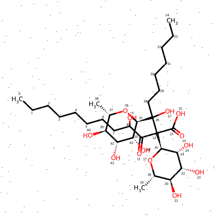 CCCCCCCCC(O)C(=O)C(C(=O)O)([C@@H]1O[C@@H](C)[C@H](O)[C@@H](O)[C@H]1O)C(O)(CCCCCCC)[C@@H]1O[C@@H](C)[C@H](O)[C@@H](O)[C@H]1O